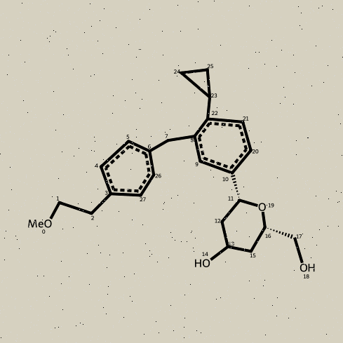 COCCc1ccc(Cc2cc([C@H]3CC(O)C[C@@H](CO)O3)ccc2C2CC2)cc1